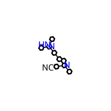 N#Cc1ccc(-c2cc(-c3ccccc3)nc3ccc4cc(-c5ccc(C6=NC(c7ccccc7)NC(c7ccccc7)=C6)cc5)ccc4c23)cc1